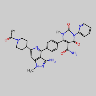 CC(C)C(=O)N1CCC(c2cc3c(c(N)nn3C)c(-c3ccc(-c4c(C(N)=O)c(=O)n(-c5ccccn5)c(=O)n4C(C)C)cc3)n2)CC1